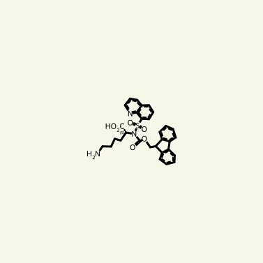 NCCCC[C@@H](C(=O)O)N(C(=O)OCC1c2ccccc2-c2ccccc21)S(=O)(=O)c1cccc2cccnc12